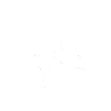 Cc1cccc2cc([C@@H]3c4nc[nH]c4CCN3C(=O)c3oc(C(C)(C)O)nc3C(F)(F)F)oc12